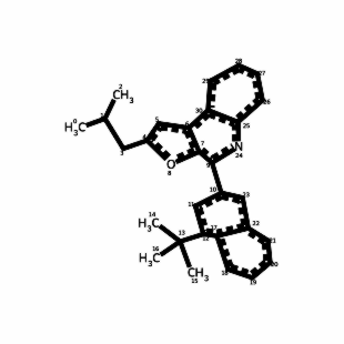 CC(C)Cc1cc2c(o1)c(-c1cc(C(C)(C)C)c3ccccc3c1)nc1ccccc12